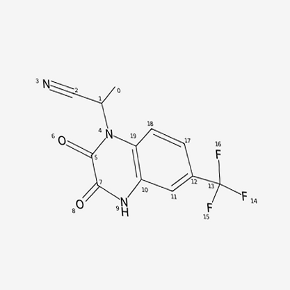 CC(C#N)n1c(=O)c(=O)[nH]c2cc(C(F)(F)F)ccc21